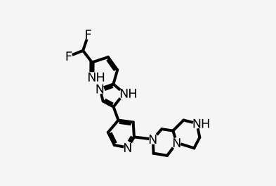 N=C(/C=C\c1ncc(-c2ccnc(N3CCN4CCNCC4C3)c2)[nH]1)C(F)F